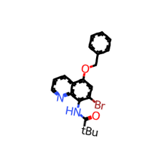 CC(C)(C)C(=O)Nc1c(Br)cc(OCc2ccccc2)c2cccnc12